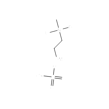 CCCCS(=O)(=O)[O-].CC[N+](C)(CC)CCOC